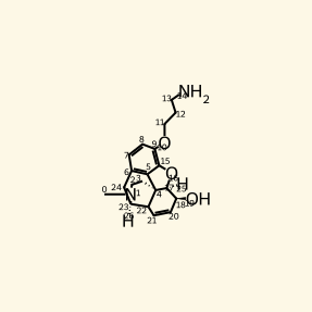 CN1CC[C@]23c4c5ccc(OCCCN)c4O[C@H]2[C@@H](O)C=CC3[C@H]1C5